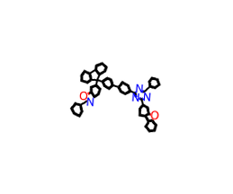 c1ccc(-c2nc(-c3ccc(-c4ccc(C5(c6ccc7nc(-c8ccccc8)oc7c6)c6ccccc6-c6ccccc65)cc4)cc3)nc(-c3ccc4c(c3)oc3ccccc34)n2)cc1